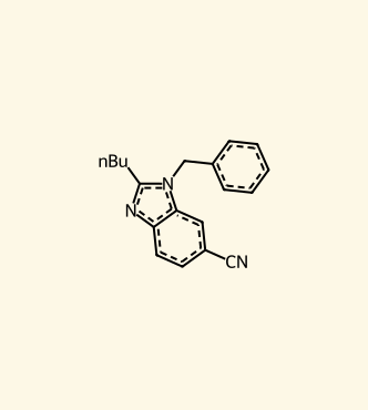 CCCCc1nc2ccc(C#N)cc2n1Cc1ccccc1